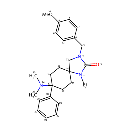 CCN1C(=O)N(Cc2ccc(OC)cc2)CC12CCC(c1ccccc1)(N(C)C)CC2